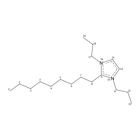 CCCCCCCCCc1n(CCC)cc[n+]1CCC